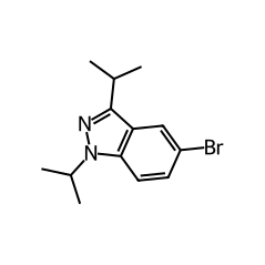 CC(C)c1nn(C(C)C)c2ccc(Br)cc12